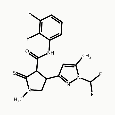 Cc1cc(C2CN(C)C(=S)C2C(=O)Nc2cccc(F)c2F)nn1C(F)F